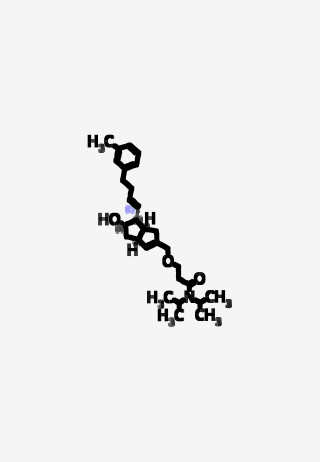 Cc1cccc(CC/C=C/[C@@H]2[C@H]3CC(COCCC(=O)N(C(C)C)C(C)C)=C[C@H]3C[C@H]2O)c1